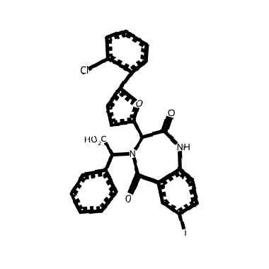 O=C(O)C(c1ccccc1)N1C(=O)c2cc(I)ccc2NC(=O)C1c1ccc(-c2ccccc2Cl)o1